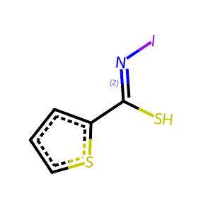 S/C(=N\I)c1cccs1